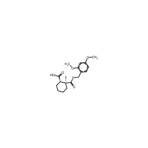 COc1ccc(COC(=O)[C@@]2(F)CCCC[C@H]2C(=O)O)c(OC)c1